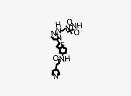 CC1(C)C(=O)NC(=O)N1CCNc1nccc(-c2cc3cc(NC(=O)C=Cc4ccncc4)ccc3s2)n1